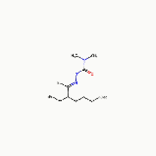 CCCCCCCCCCCCCC(CC(C)C)C(CC)=NNC(=O)N(C)C